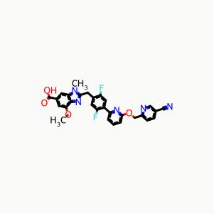 COc1cc(C(=O)O)cc2c1nc(Cc1cc(F)c(-c3cccc(OCc4ccc(C#N)cn4)n3)cc1F)n2C